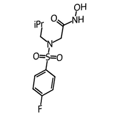 CC(C)CN(CC(=O)NO)S(=O)(=O)c1ccc(F)cc1